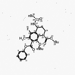 CCCCOc1c(C(=O)Oc2ccccc2)c(C)c(F)c2c1N(C(=O)OC(C)(C)C)CCC2N[S@+]([O-])CCCC